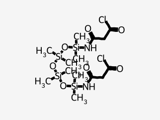 C[Si](C)(NC(=O)CC(=O)Cl)O[Si](C)(C)O[Si](C)(C)O[Si](C)(C)NC(=O)CC(=O)Cl